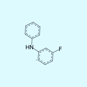 Fc1cc[c]c(Nc2ccccc2)c1